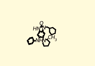 CC1CCCCN1c1cc2c(cc1Nc1ccccc1)[nH]c(=O)n2CC1CCCCC1